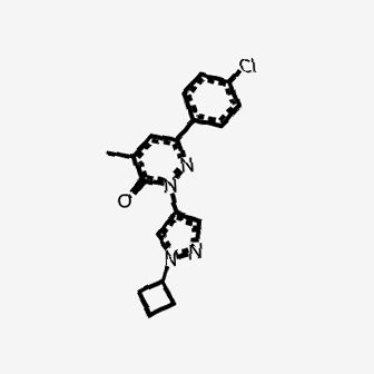 Cc1cc(-c2ccc(Cl)cc2)nn(-c2cnn(C3CCC3)c2)c1=O